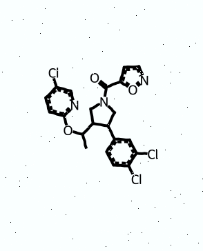 CC(Oc1ccc(Cl)cn1)C1CN(C(=O)c2ccno2)CC1c1ccc(Cl)c(Cl)c1